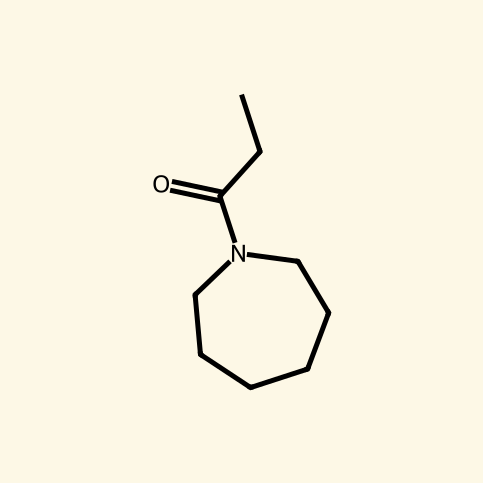 CCC(=O)N1CCCCCC1